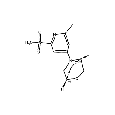 CS(=O)(=O)c1nc(Cl)cc(N2C[C@@H]3CCC[C@H]2CO3)n1